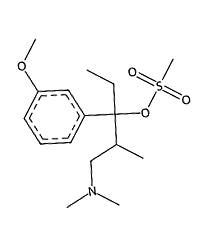 CCC(OS(C)(=O)=O)(c1cccc(OC)c1)C(C)CN(C)C